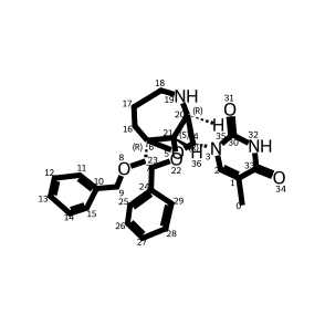 Cc1cn([C@@H]2O[C@@]3(COCc4ccccc4)CCCN[C@@H]2[C@@H]3OCc2ccccc2)c(=O)[nH]c1=O